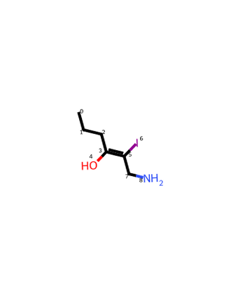 CCC/C(O)=C(\I)CN